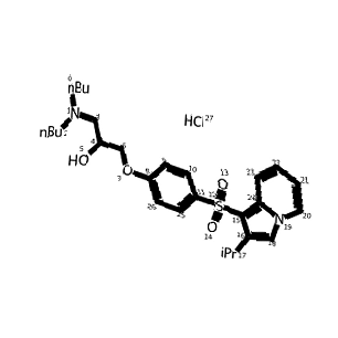 CCCCN(CCCC)CC(O)COc1ccc(S(=O)(=O)c2c(C(C)C)cn3ccccc23)cc1.Cl